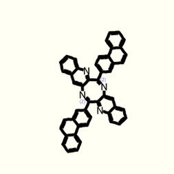 c1ccc2nc3c(cc2c1)/N=C(/c1ccc2c(ccc4ccccc42)c1)c1nc2ccccc2cc1/N=C\3c1ccc2c(ccc3ccccc32)c1